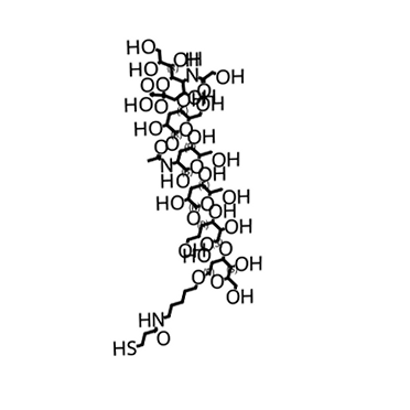 CC(=O)NC1C(O[C@@H]2OC(CO)[C@H](O)C(OC3(C(=O)O)CC(O)C(NC(=O)CO)C([C@H](O)C(O)CO)O3)C2O)[C@@H](O)C(CO)O[C@H]1OC1C(O)[C@@H](O[C@H]2C(CO)O[C@@H](OC3C(O)[C@H](OCCCCCNC(=O)CCS)OC(CO)[C@@H]3O)C(O)C2O)OC(CO)[C@@H]1O